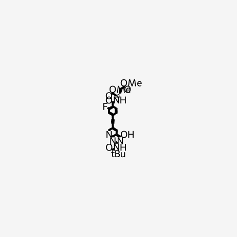 COC(=O)CC[C@H](NC(=O)c1ccc(C#Cc2cnc3nc(NC(=O)C(C)(C)C)nc(O)c3c2)cc1F)C(=O)OC